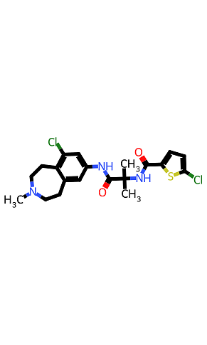 CN1CCc2cc(NC(=O)C(C)(C)NC(=O)c3ccc(Cl)s3)cc(Cl)c2CC1